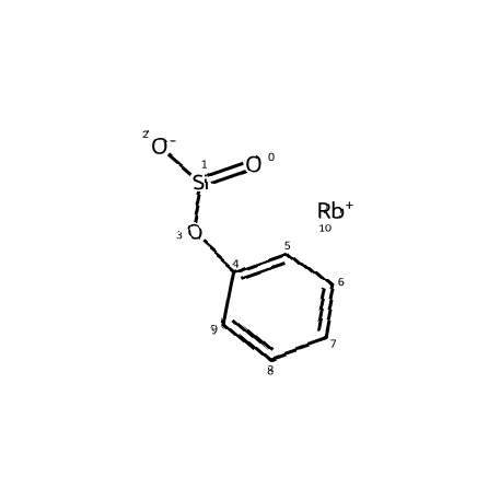 O=[Si]([O-])Oc1ccccc1.[Rb+]